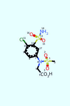 CS(=O)(=O)N(CC(=O)O)c1ccc(Cl)c(S(N)(=O)=O)c1